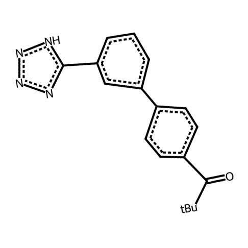 CC(C)(C)C(=O)c1ccc(-c2cccc(-c3nnn[nH]3)c2)cc1